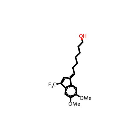 COc1cc2c(cc1OC)/C(=C/CCCCCCO)C=C2C(F)(F)F